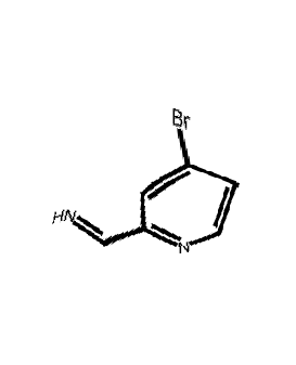 N=Cc1cc(Br)ccn1